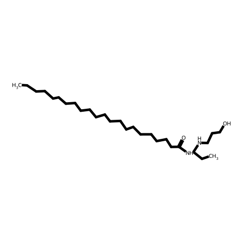 CCCCCCCCCCCCCCCCCCCCCC(=O)NC(CC)NCCCO